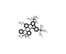 Cc1cc2c3c(c1)N1c4ccccc4[Si](C)(C)c4cccc(c41)B3n1c3ccc(C(C)(C)C)cc3c3cc(C(C)(C)C)cc-2c31